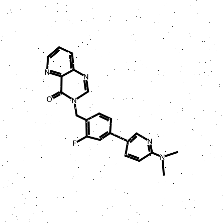 CN(C)c1ccc(-c2ccc(Cn3cnc4cccnc4c3=O)c(F)c2)cn1